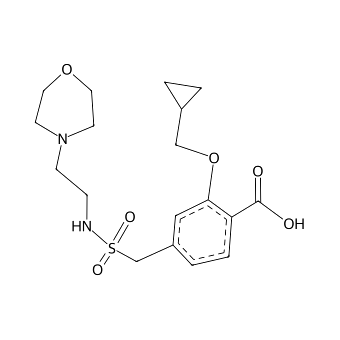 O=C(O)c1ccc(CS(=O)(=O)NCCN2CCOCC2)cc1OCC1CC1